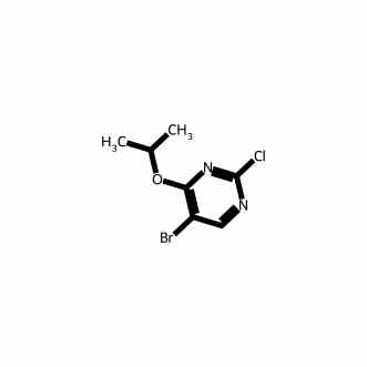 CC(C)Oc1nc(Cl)ncc1Br